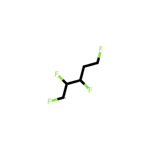 F[CH]C(F)C(F)CCF